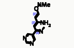 C\N=C(/C=C(N)/C=C/ONC)c1cncnc1